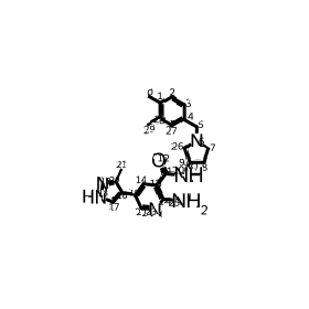 Cc1ccc(CN2CC[C@@H](NC(=O)c3cc(-c4c[nH]nc4C)cnc3N)C2)cc1C